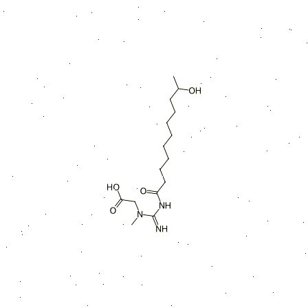 CC(O)CCCCCCCCC(=O)NC(=N)N(C)CC(=O)O